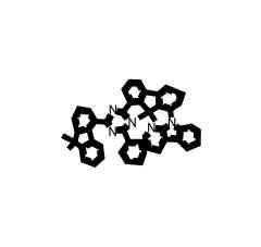 CC1(C)c2ccccc2-c2c(-c3nc(-c4ccccc4)nc(-c4cccc5c4C(C)(C)c4c-5cccc4-n4c5ccccc5c5cccnc54)n3)cccc21